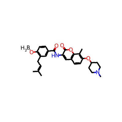 BOc1ccc(C(=O)Nc2cc3ccc(OC4CCN(C)CC4)c(C)c3oc2=O)cc1CC=C(C)C